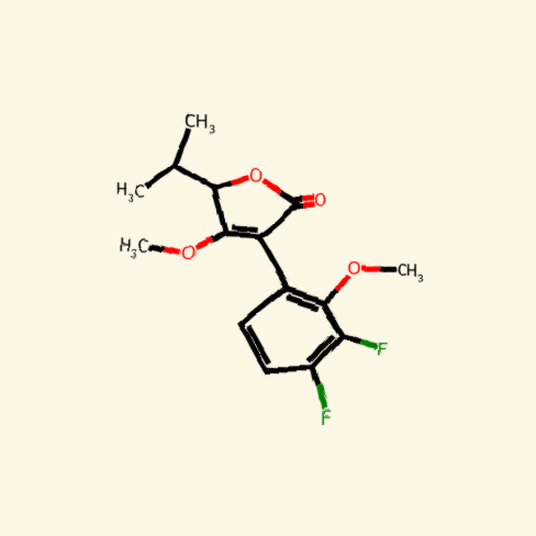 COC1=C(c2ccc(F)c(F)c2OC)C(=O)OC1C(C)C